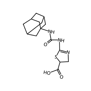 O=C(NC1=NCC(C(=O)O)S1)NC12CC3CC(CC(C3)C1)C2